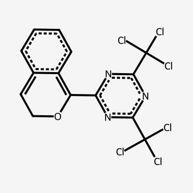 ClC(Cl)(Cl)c1nc(C2=c3ccccc3=CCO2)nc(C(Cl)(Cl)Cl)n1